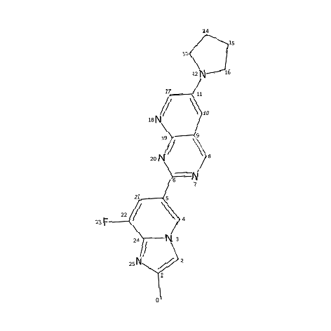 Cc1cn2cc(-c3ncc4cc(N5CCCC5)cnc4n3)cc(F)c2n1